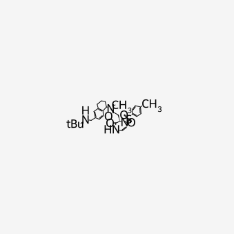 Cc1ccc(S(=O)(=O)N2C=CNC(=O)[C@H]2CC(=O)N(C)[C@@H]2CCCc3cc(CNC(C)(C)C)ccc32)cc1